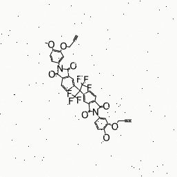 C#CCOc1cc(N2C(=O)c3ccc(C(c4ccc5c(c4)C(=O)N(c4ccc(OC)c(OCC#C)c4)C5=O)(C(F)(F)F)C(F)(F)F)cc3C2=O)ccc1OC